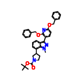 Cn1nc(-c2ccc(OCc3ccccc3)nc2OCc2ccccc2)c2cccc(C3CCN(C(=O)OC(C)(C)C)C3)c21